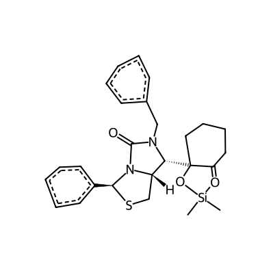 C[Si](C)(C)OC1([C@@H]2[C@@H]3CS[C@@H](c4ccccc4)N3C(=O)N2Cc2ccccc2)CCCCC1=O